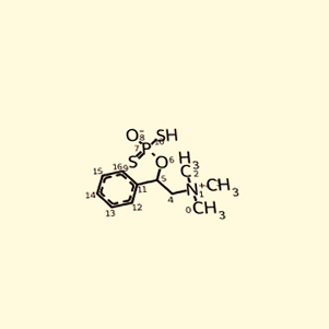 C[N+](C)(C)CC(OP([O-])(=S)S)c1ccccc1